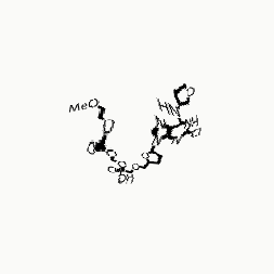 COCCOC(=O)OCOP(=O)(O)COCC1CCC(n2cnc3c2N=C(Cl)NC3N[C@H]2CCOC2)O1